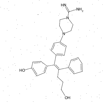 N=C(N)N1CCN(c2ccc(C(=C(CCCO)c3ccccc3)c3ccc(O)cc3)cc2)CC1